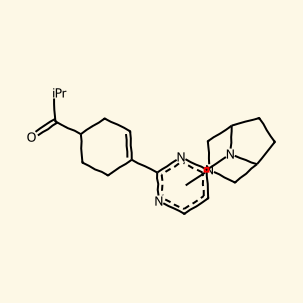 CC(C)C(=O)C1CC=C(c2nccc(N3C4CCC3CN(C)C4)n2)CC1